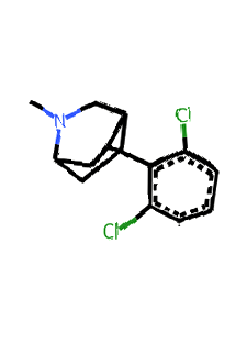 CN1CC2CCC1CC2c1c(Cl)[c]ccc1Cl